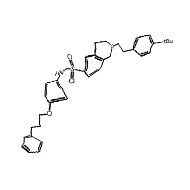 CC(C)(C)c1ccc(CCN2CCc3cc(S(=O)(=O)Nc4ccc(OCCCc5ccccc5)cc4)ccc3C2)cc1